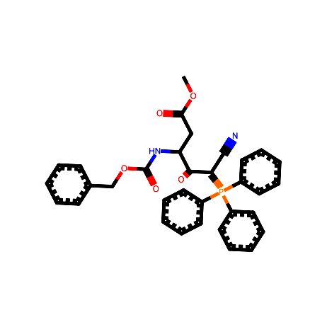 COC(=O)CC(NC(=O)OCc1ccccc1)C(=O)C(C#N)=P(c1ccccc1)(c1ccccc1)c1ccccc1